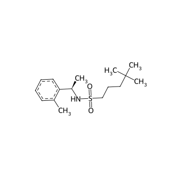 Cc1ccccc1[C@@H](C)NS(=O)(=O)CCCC(C)(C)C